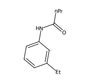 CCCC(=O)Nc1[c]c(CC)ccc1